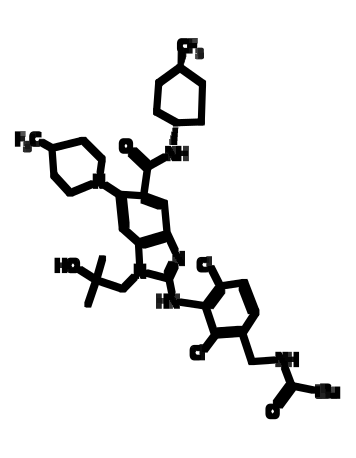 CC(C)(O)Cn1c(Nc2c(Cl)ccc(CNC(=O)C(C)(C)C)c2Cl)nc2cc(C(=O)N[C@H]3CC[C@H](C(F)(F)F)CC3)c(N3CCC(C(F)(F)F)CC3)cc21